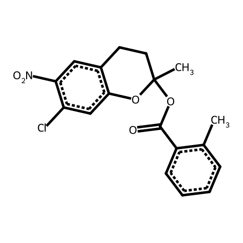 Cc1ccccc1C(=O)OC1(C)CCc2cc([N+](=O)[O-])c(Cl)cc2O1